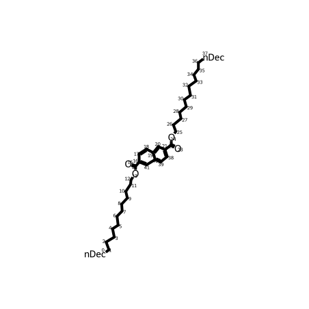 CCCCCCCCCCCCCCCCCCCCCCOC(=O)c1ccc2cc(C(=O)OCCCCCCCCCCCCCCCCCCCCCC)ccc2c1